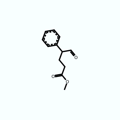 COC(=O)CCC(C=O)c1ccccc1